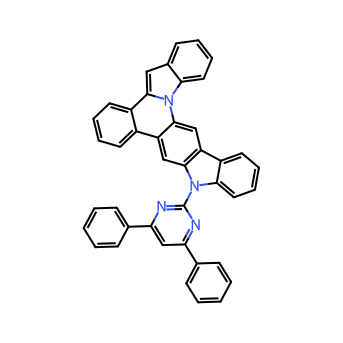 c1ccc(-c2cc(-c3ccccc3)nc(-n3c4ccccc4c4cc5c(cc43)c3ccccc3c3cc4ccccc4n35)n2)cc1